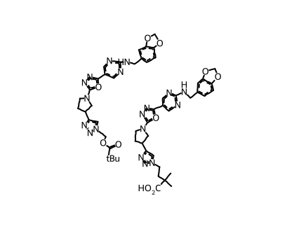 CC(C)(C)C(=O)OCn1cc(C2CCN(c3nnc(-c4cnc(NCc5ccc6c(c5)OCO6)nc4)o3)C2)nn1.CC(C)(CCn1cc(C2CCN(c3nnc(-c4cnc(NCc5ccc6c(c5)OCO6)nc4)o3)C2)nn1)C(=O)O